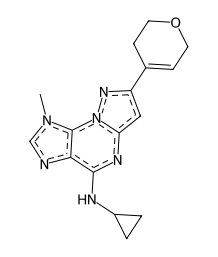 Cn1cnc2c(NC3CC3)nc3cc(C4=CCOCC4)nn3c21